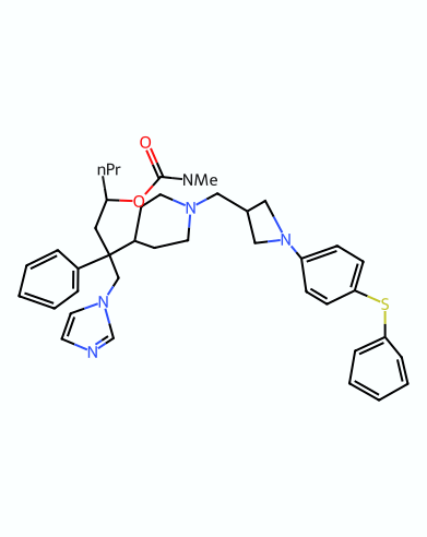 CCCC(CC(Cn1ccnc1)(c1ccccc1)C1CCN(CC2CN(c3ccc(Sc4ccccc4)cc3)C2)CC1)OC(=O)NC